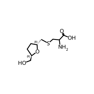 NC(CSC[C@H]1CC[C@H](CO)O1)C(=O)O